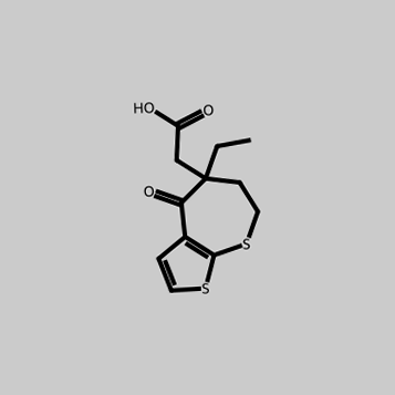 CCC1(CC(=O)O)CCSc2sccc2C1=O